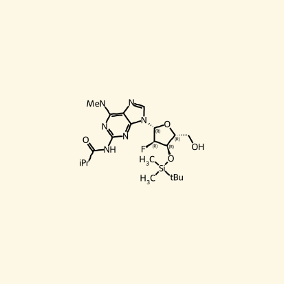 CNc1nc(NC(=O)C(C)C)nc2c1ncn2[C@@H]1O[C@H](CO)[C@@H](O[Si](C)(C)C(C)(C)C)[C@H]1F